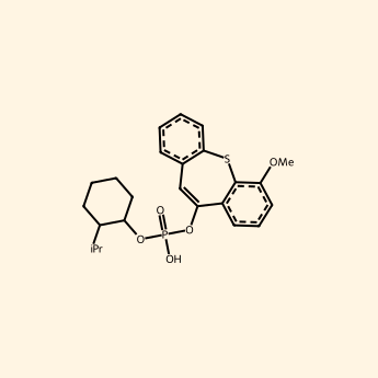 COc1cccc2c1Sc1ccccc1C=C2OP(=O)(O)OC1CCCCC1C(C)C